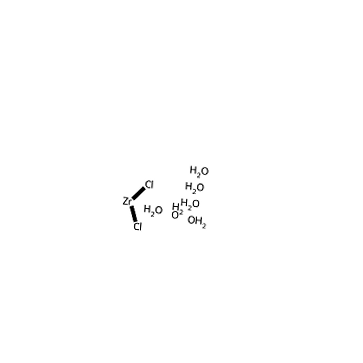 O.O.O.O.O.O.[Cl][Zr][Cl]